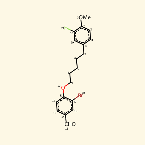 COc1ccc(CCCCCOc2ccc(C=O)cc2Br)cc1F